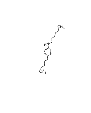 CCCCCCNc1ccc(CCCCC)cc1